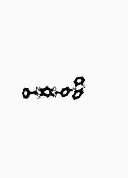 c1ccc(-c2nc3cc4oc(-c5ccc(N6c7ccccc7Sc7ccccc76)cc5)nc4cc3s2)cc1